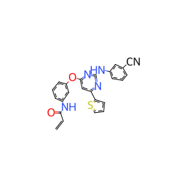 C=CC(=O)Nc1cccc(Oc2cc(-c3cccs3)nc(Nc3cccc(C#N)c3)n2)c1